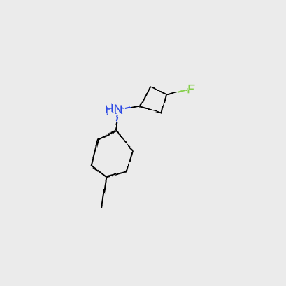 CC1CCC(NC2CC(F)C2)CC1